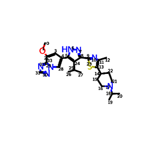 COc1cc(-c2[nH]nc(-c3nc(C)c(C4CCN(C(C)C)CC4)s3)c2C(C)C)cn2ncnc12